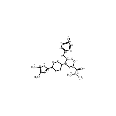 Cc1nc(C2CCC(N3C[C@H](C(=O)N(C)C)OC[C@@H]3Cc3ccc(Cl)cc3)CC2)oc1C